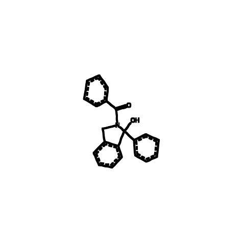 O=C(c1ccccc1)N1Cc2ccccc2C1(O)c1ccccc1